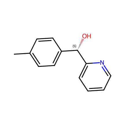 Cc1ccc([C@H](O)c2ccccn2)cc1